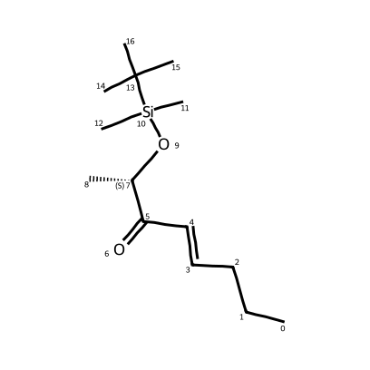 CCCC=CC(=O)[C@H](C)O[Si](C)(C)C(C)(C)C